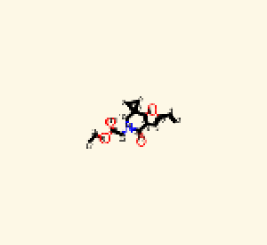 C=Cc1cc2c(o1)C1(CC1)CN(CC(=O)OCC)C2=O